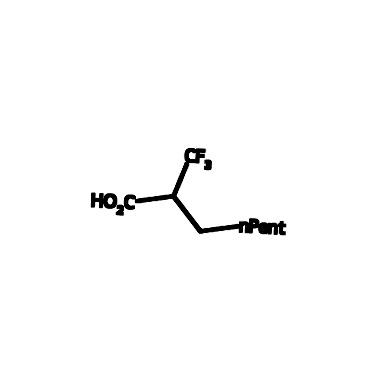 CCCCCCC(C(=O)O)C(F)(F)F